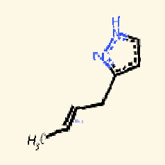 C/C=C/Cc1cc[nH]n1